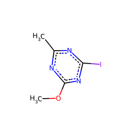 COc1nc(C)nc(I)n1